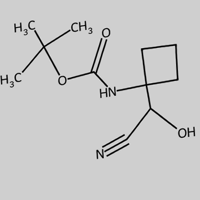 CC(C)(C)OC(=O)NC1(C(O)C#N)CCC1